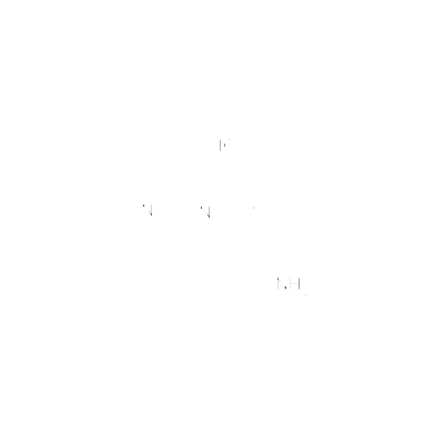 CN(C)c1cccc(OCCN)n1.Cl